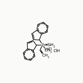 C=[CH][Zr]([CH3])(=[SiH2])([CH]1C=Cc2ccccc21)[CH]1C=Cc2ccccc21.Cl.Cl